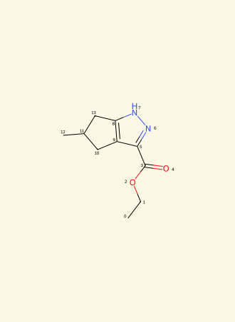 CCOC(=O)c1n[nH]c2c1CC(C)C2